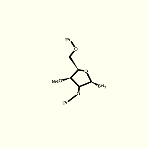 B[C@@H]1O[C@H](COC(C)C)[C@H](OC)C1OC(C)C